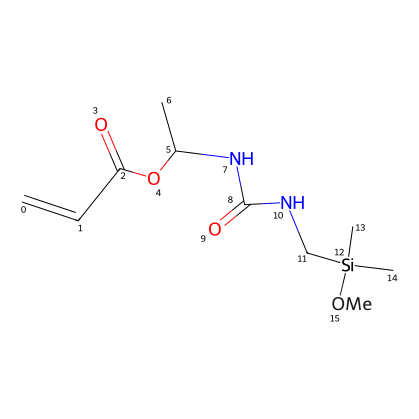 C=CC(=O)OC(C)NC(=O)NC[Si](C)(C)OC